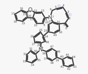 C=C1/C=C\C=C/CN(c2ccc3c(c2)oc2ccccc23)c2cc(-c3cccc(N(c4ccccc4)c4ccc(-c5ccccc5)cc4)c3)ccc21